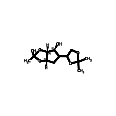 CC1(C)OCC(C2C[C@@H]3OC(C)(C)O[C@@H]3[C@H]2O)O1